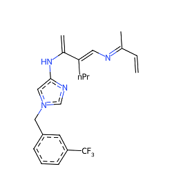 C=C/C(C)=N/C=C(\CCC)C(=C)Nc1cn(Cc2cccc(C(F)(F)F)c2)cn1